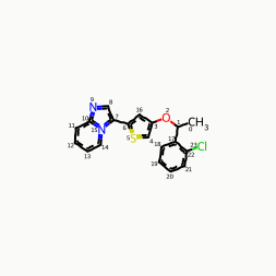 CC(Oc1csc(-c2cnc3ccccn23)c1)c1ccccc1Cl